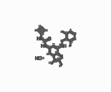 Cc1cccc(C)c1CNc1cc(NC(=O)NC23CC(C2)C3)cn2c(C)c(C)nc12.Cl